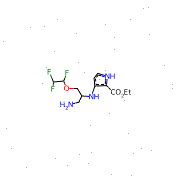 CCOC(=O)c1[nH]ccc1NC(CN)COC(F)C(F)F